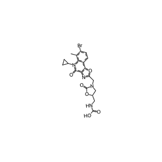 Cc1c(Br)ccc2c3oc(CN4CC(CNC(=O)O)OC4=O)nc3c(=O)n(C3CC3)c12